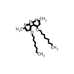 CCCCCCCCOc1cc(C)nc2oc3nc(C)cc(OCCCCCCCC)c3c12